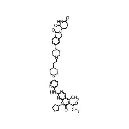 CC(=O)c1c(C)c2cnc(Nc3ccc(N4CCC(CCN5CCN(c6ccc7c(c6)CN(C6CCC(=O)NC6=O)C7=O)CC5)CC4)cn3)nc2n(C2CCCC2)c1=O